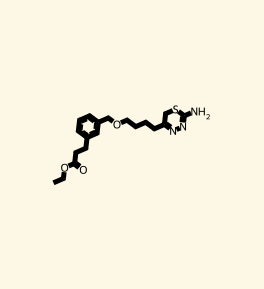 CCOC(=O)CCc1cccc(COCCCCC2=NN=C(N)SC2)c1